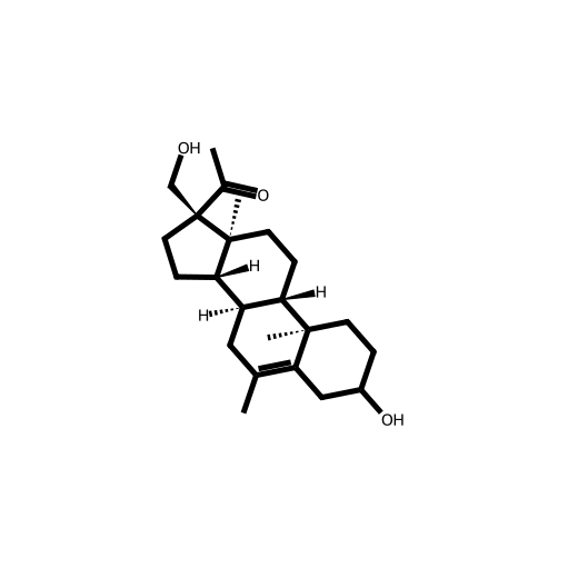 CC(=O)[C@@]1(CO)CC[C@H]2[C@@H]3CC(C)=C4CC(O)CC[C@]4(C)[C@H]3CC[C@@]21C